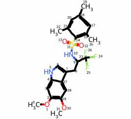 COc1cc2[nH]cc(CC(NS(=O)(=O)c3c(C)cc(C)cc3C)C(F)(F)F)c2cc1OC